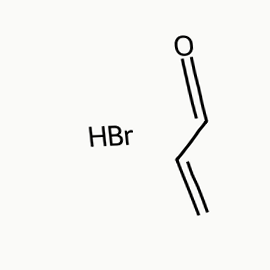 Br.C=CC=O